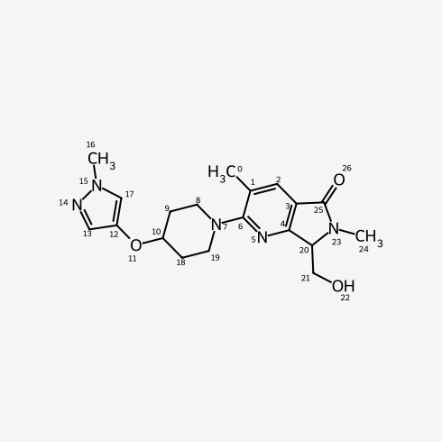 Cc1cc2c(nc1N1CCC(Oc3cnn(C)c3)CC1)C(CO)N(C)C2=O